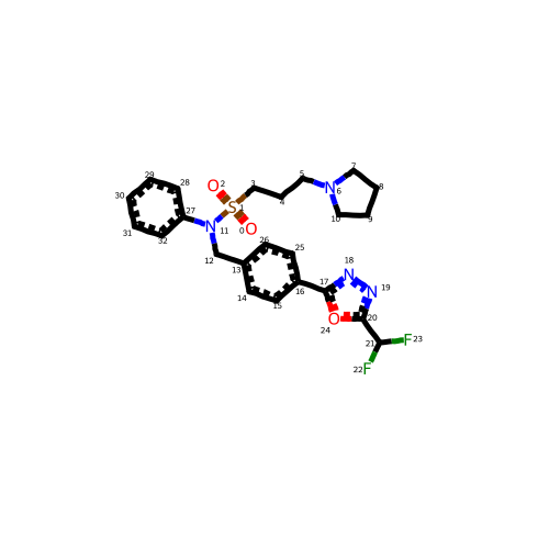 O=S(=O)(CCCN1CCCC1)N(Cc1ccc(-c2nnc(C(F)F)o2)cc1)c1ccccc1